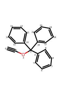 C#COC(c1ccccc1)(c1ccccc1)c1ccccc1